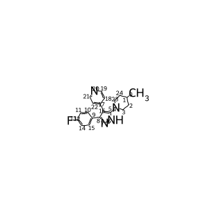 CC1CCN(c2[nH]nc(-c3ccc(F)cc3)c2-c2ccncc2)CC1